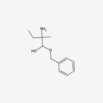 CCC(C)(N)C(O)OCc1ccccc1